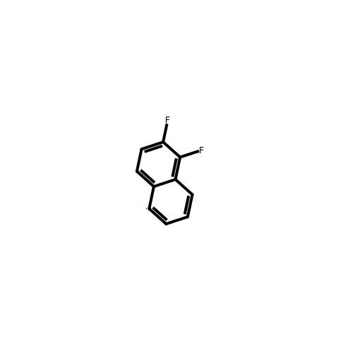 Fc1ccc2[c]cccc2c1F